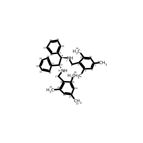 Cc1cc(C)c(CN[C@H](c2ccccc2)[C@H](NCc2c(C)cc(C)cc2C)c2ccccc2)c(C)c1